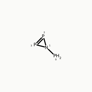 PN1P=P1